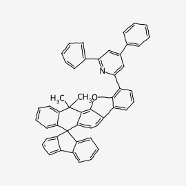 CC1(C)c2ccccc2C2(c3ccccc3-c3ccccc32)c2ccc3c(oc4c(-c5cc(-c6ccccc6)cc(-c6ccccc6)n5)cccc43)c21